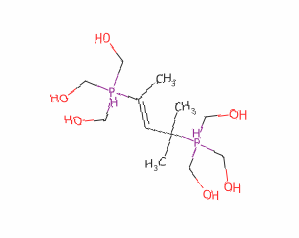 C/C(=C\C(C)(C)[PH](CO)(CO)CO)[PH](CO)(CO)CO